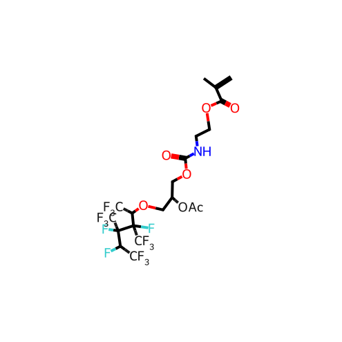 C=C(C)C(=O)OCCNC(=O)OCC(COC(C(F)(F)F)C(F)(C(F)(F)F)C(F)(C(F)C(F)(F)F)C(F)(F)F)OC(C)=O